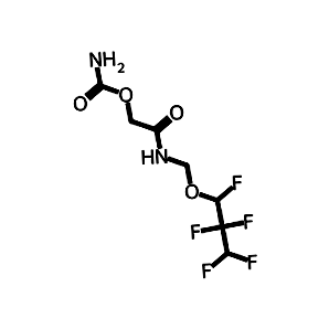 NC(=O)OCC(=O)NCOC(F)C(F)(F)C(F)F